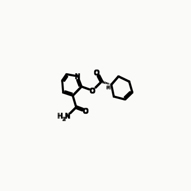 NC(=O)c1cccnc1OC(=O)[C@H]1CC=CCC1